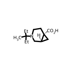 CCC(C)(CC)N1CC[C@@]2(C(=O)O)C[C@H]2C1